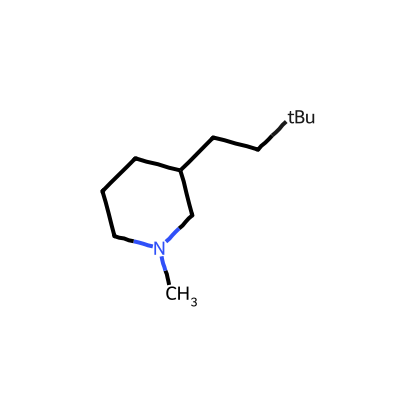 CN1CCCC(CCC(C)(C)C)C1